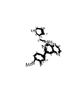 CNc1ccc(-c2cc3nccnc3c(NC[C@H]3CCCNC3)n2)cc1F